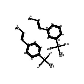 CC(=O)C=Cc1ccc(C(F)(F)C(F)(F)F)cc1.CC(=O)C=Cc1cccc(C(F)(F)C(F)(F)F)c1